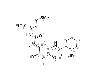 CCOC(=O)[C@H](CCSC)NC(=O)/C(C)=C/[C@H](C(C)C)N(C)C(=O)[C@@H](NC(=O)C1CCCCN1C(C)C)C(C)C